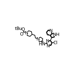 CC(C)(C)OC(=O)N1CCC(CCN2CC[C@@H](Nc3ncc(Cl)c(-c4c[nH]c5ncccc45)n3)C2)CC1